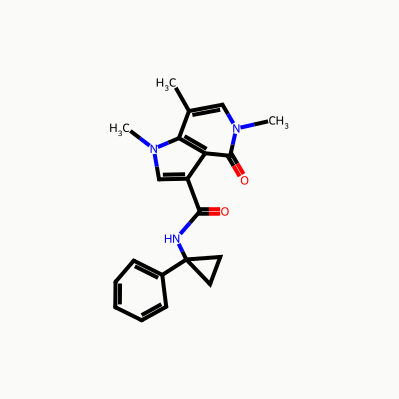 Cc1cn(C)c(=O)c2c(C(=O)NC3(c4ccccc4)CC3)cn(C)c12